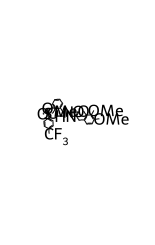 COc1ccc(CC(=O)NN=Cc2ccccc2OS(=O)(=O)c2ccc(C(F)(F)F)cc2)c(OC)c1OC